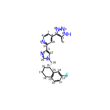 Cc1[nH]nnc1-c1ccnc(-c2cn(C[C@H]3CCCc4ccc(F)cc43)cn2)c1